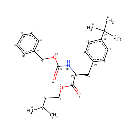 CC(C)CCOC(=O)[C@H](Cc1ccc(C(C)(C)C)cc1)NC(=O)OCc1ccccc1